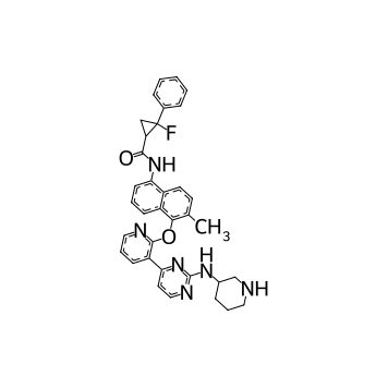 Cc1ccc2c(NC(=O)C3CC3(F)c3ccccc3)cccc2c1Oc1ncccc1-c1ccnc(NC2CCCNC2)n1